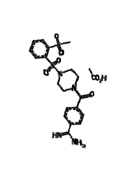 CC(=O)O.CS(=O)(=O)c1ccccc1S(=O)(=O)N1CCN(C(=O)c2ccc(C(=N)N)cc2)CC1